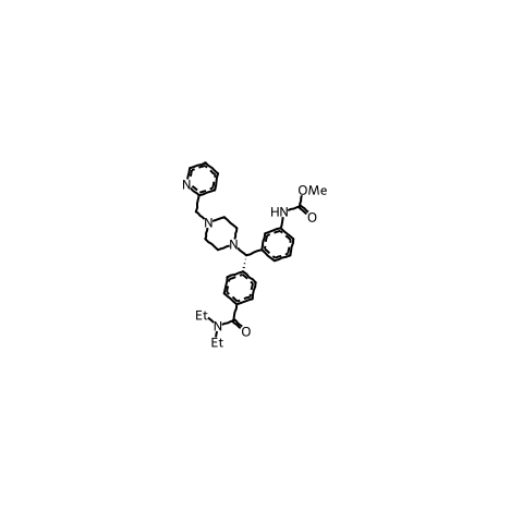 CCN(CC)C(=O)c1ccc([C@@H](c2cccc(NC(=O)OC)c2)N2CCN(Cc3ccccn3)CC2)cc1